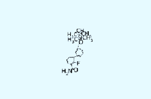 CC(C)(C)[Si](C)(C)OCc1cccc(-c2cccc(C(N)=O)c2F)c1